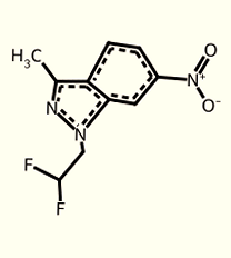 Cc1nn(CC(F)F)c2cc([N+](=O)[O-])ccc12